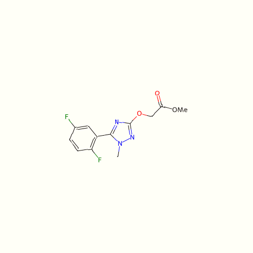 COC(=O)COc1nc(-c2cc(F)ccc2F)n(C)n1